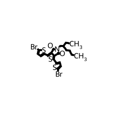 CCCCC(CC)CN1C(=O)c2c(-c3ccc(Br)s3)sc(-c3ccc(Br)s3)c2C1=O